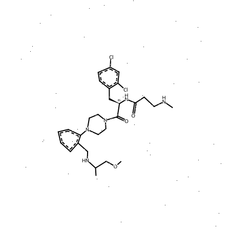 CNCCC(=O)N[C@H](Cc1ccc(Cl)cc1Cl)C(=O)N1CCN(c2ccccc2CNC(C)COC)CC1